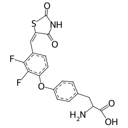 NC(Cc1ccc(Oc2ccc(C=C3SC(=O)NC3=O)c(F)c2F)cc1)C(=O)O